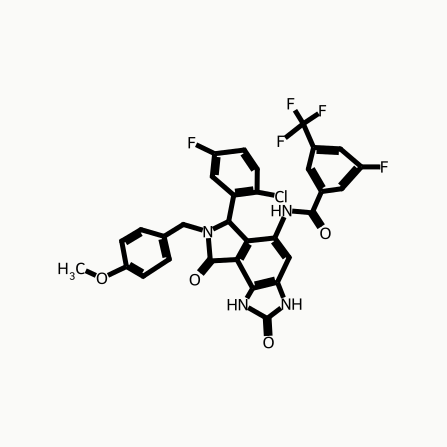 COc1ccc(CN2C(=O)c3c(c(NC(=O)c4cc(F)cc(C(F)(F)F)c4)cc4[nH]c(=O)[nH]c34)C2c2cc(F)ccc2Cl)cc1